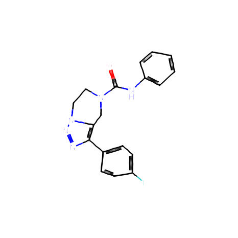 O=C(Nc1ccccc1)N1CCn2nnc(-c3ccc(F)cc3)c2C1